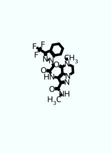 CNC(=O)c1nn2c(c1NC(=O)Cn1nc(C(F)(F)F)c3c1CCCC3)C(=O)N(C)CC2